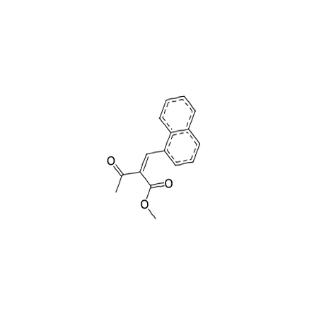 COC(=O)C(=Cc1cccc2ccccc12)C(C)=O